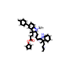 C/C=C/CC1(C)/C(=C/C=C/C2=[N+](CCC)c3ccc(-c4ccc(C)cc4)cc3C2(C)CCC(=O)OC2C=CC=C2)Nc2ccccc21